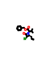 C=CC[C@H]1C(Br)C(=O)N1C(C(=O)OCc1ccccc1)=C(C)C